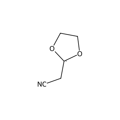 N#CC[C]1OCCO1